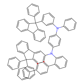 c1ccc(-c2ccc(-c3ccccc3N(c3ccc(N(c4ccccc4)c4cccc(C5(c6ccccc6)c6ccccc6-c6ccccc65)c4)cc3)c3ccc4c(c3)-c3ccccc3C4(c3ccccc3)c3ccccc3)cc2)cc1